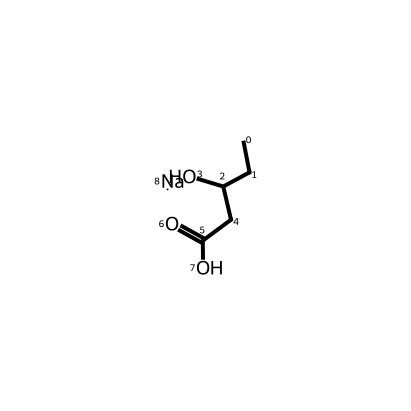 CCC(O)CC(=O)O.[Na]